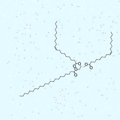 CCCCCCC/C=C\CCCCCCCC(=O)OC[C@H](COC(=O)CCCCCCCCCCCCCCCCCCCCC)OC(=O)CCCCCCC/C=C\CCCCCCCCC